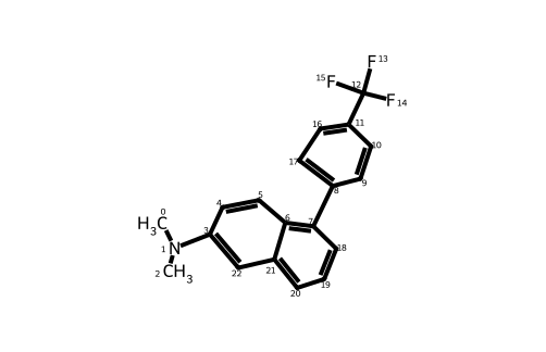 CN(C)c1ccc2c(-c3ccc(C(F)(F)F)cc3)cccc2c1